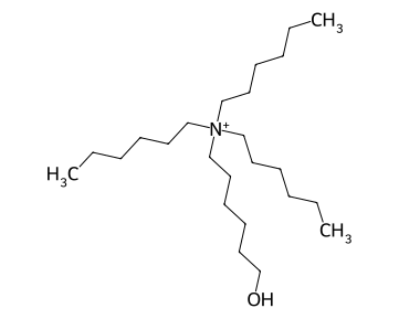 CCCCCC[N+](CCCCCC)(CCCCCC)CCCCCCO